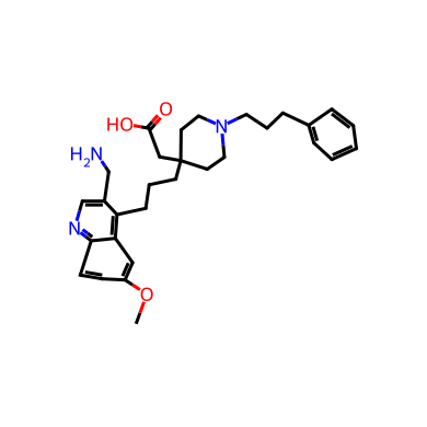 COc1ccc2ncc(CN)c(CCCC3(CC(=O)O)CCN(CCCc4ccccc4)CC3)c2c1